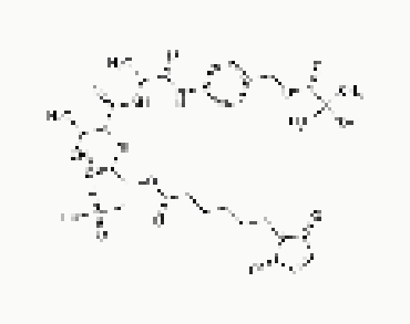 CC(C)[C@@H](NC(=O)[C@@H](CS(=O)(=O)O)OC(=O)CCCCCN1C(=O)C=CC1=O)C(=O)N[C@H](C)C(=O)Nc1ccc(COC(=O)C(C)(C)S)cc1